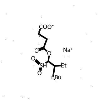 CCCCC(CC)C(OC(=O)CCC(=O)[O-])[SH](=O)=O.[Na+]